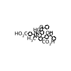 Cn1c(-c2ccc(C(=O)O)cc2)nnc1-c1ccc(C(=O)O)c(-c2ccc(C(=O)c3ccccc3)c(O)c2)c1-c1ccc(C(=O)c2ccccc2)c(O)c1